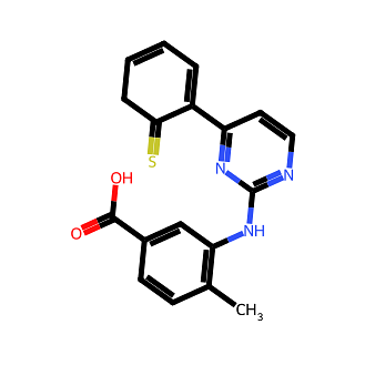 Cc1ccc(C(=O)O)cc1Nc1nccc(C2=CC=CCC2=S)n1